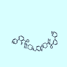 O=C(NC1CCN(c2ccc(CN3CCC(NC(=O)c4cccc(-c5ccncc5)c4F)CC3)cn2)CC1)c1cccc(-c2cccnc2)c1